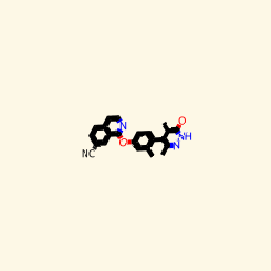 Cc1cc(Oc2nccc3ccc(C#N)cc23)ccc1-c1c(C)n[nH]c(=O)c1C